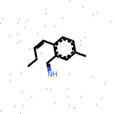 CC/C=C\c1ccc(C)cc1C=N